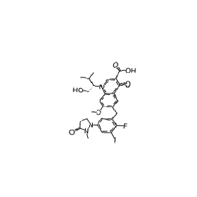 COc1cc2c(cc1Cc1cc(N3CCC(=O)N3C)cc(I)c1F)c(=O)c(C(=O)O)cn2[C@H](CO)C(C)C